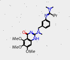 COc1cc2[nH]c(N(C)Cc3cccc(/N=C(\C(C)C)N(C)C)c3)nc(=O)c2c(OC)c1OC